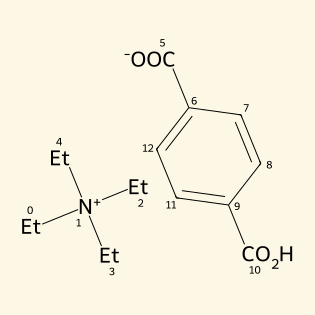 CC[N+](CC)(CC)CC.O=C([O-])c1ccc(C(=O)O)cc1